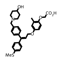 CSc1ccc(/C(=C/COc2ccc(OCC(=O)O)c(C)c2)c2ccc(CN3CCC(O)CC3)cc2)cc1